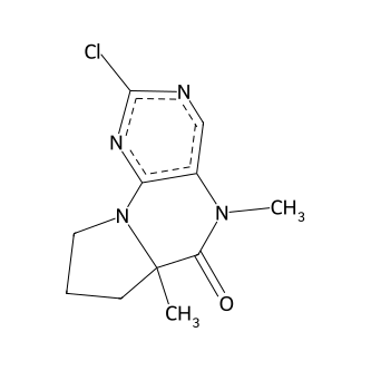 CN1C(=O)C2(C)CCCN2c2nc(Cl)ncc21